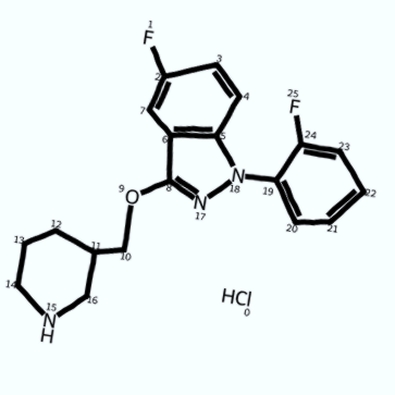 Cl.Fc1ccc2c(c1)c(OCC1CCCNC1)nn2-c1ccccc1F